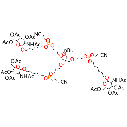 CCCCOCC(COCCCOP(CCCC#N)OCCCCCCO[C@@H]1OC(COC(C)=O)[C@H](OC(C)=O)C(OC(C)=O)[C@@H]1NC(C)=O)(COCCCOP(OCCC#N)OCCCCCCO[C@@H]1OC(COC(C)=O)[C@H](OC(C)=O)C(OC(C)=O)[C@@H]1NC(C)=O)COCCCOP(OCCC#N)OCCCCCCO[C@@H]1OC(COC(C)=O)[C@H](OC(C)=O)C(OC(C)=O)[C@@H]1NC(C)=O